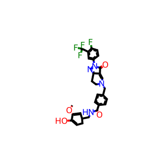 COC1=CC(CNC(=O)c2ccc(CN3C=C4C(=O)N(c5ccc(F)c(C(F)(F)F)c5)N=C4CC3)cc2)CC=C1O